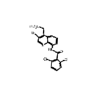 CCOC(=O)Cc1c(Br)cnc2c(NC(=O)c3c(Cl)cccc3Cl)cccc12